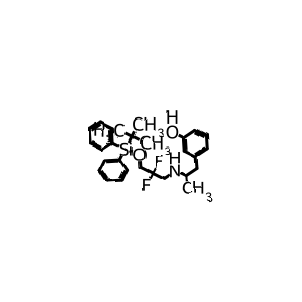 CC(Cc1cccc(O)c1)NCC(F)(F)CO[Si](c1ccccc1)(c1ccccc1)C(C)(C)C